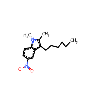 CCCCCCc1c(C)n(C)c2ccc([N+](=O)[O-])cc12